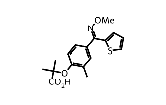 CON=C(c1ccc(OC(C)(C)C(=O)O)c(C)c1)c1cccs1